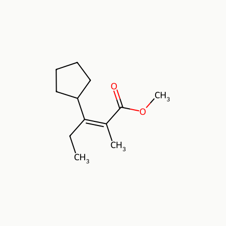 CCC(=C(C)C(=O)OC)C1CCCC1